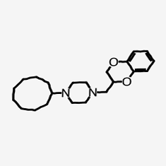 c1ccc2c(c1)OCC(CN1CCN(C3CCCCCCCC3)CC1)O2